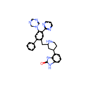 O=C1[N]c2c(cccc2C2CCNC(Cc3cc(-c4ncccn4)c(N4C=NC=NC4)cc3-c3ccccc3)C2)N1